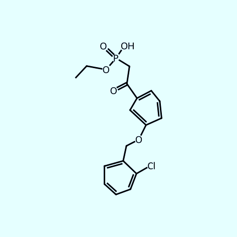 CCOP(=O)(O)CC(=O)c1cccc(OCc2ccccc2Cl)c1